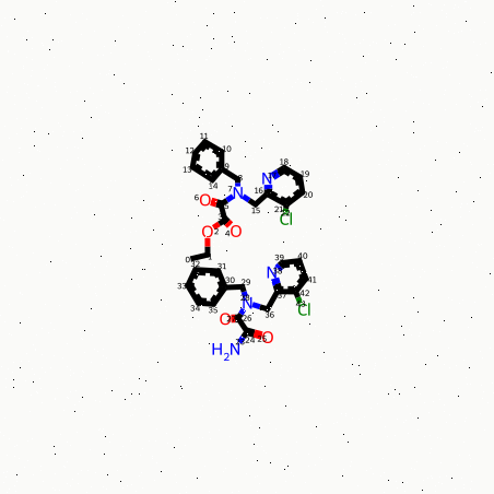 CCOC(=O)C(=O)N(Cc1ccccc1)Cc1ncccc1Cl.NC(=O)C(=O)N(Cc1ccccc1)Cc1ncccc1Cl